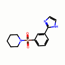 O=S(=O)(c1cccc(-c2ncc[nH]2)c1)N1CCCCC1